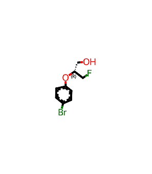 OC[C@H](CF)Oc1ccc(Br)cc1